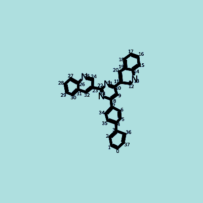 c1ccc(-c2ccc(-c3cc(-c4cnc5ccccc5c4)nc(-c4cnc5ccccc5c4)n3)cc2)cc1